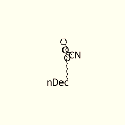 CCCCCCCCCCCCCCCCCCOCC(CC#N)OCc1ccccc1